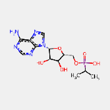 CC(C)P(=O)(O)OC[C@H]1O[C@@H](n2cnc3c(N)ncnc32)[C@H](O)[C@@H]1O